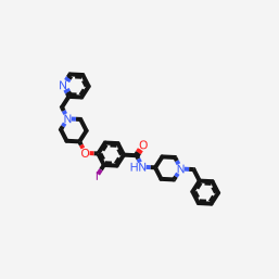 O=C(NC1CCN(Cc2ccccc2)CC1)c1ccc(OC2CCN(Cc3ccccn3)CC2)c(I)c1